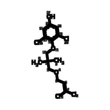 CC(C)(COCC=C(Cl)Cl)COc1c(Cl)cc(O)cc1Cl